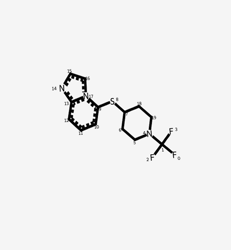 FC(F)(F)N1CCC(Sc2cccc3nccn23)CC1